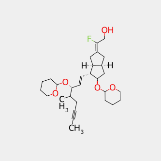 CC#CCC(C)[C@@H](/C=C/[C@@H]1[C@H]2C/C(=C(\F)CO)C[C@H]2C[C@H]1OC1CCCCO1)OC1CCCCO1